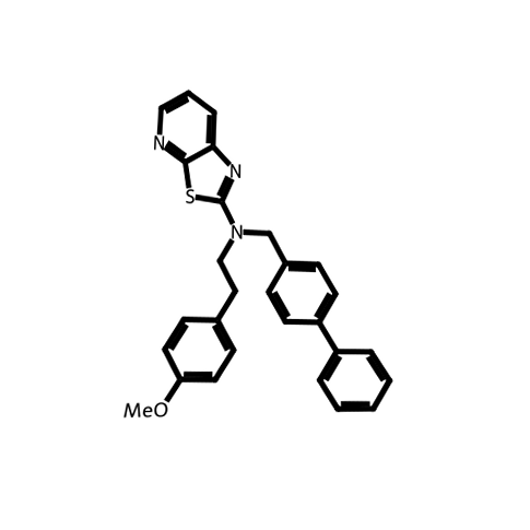 COc1ccc(CCN(Cc2ccc(-c3ccccc3)cc2)c2nc3cccnc3s2)cc1